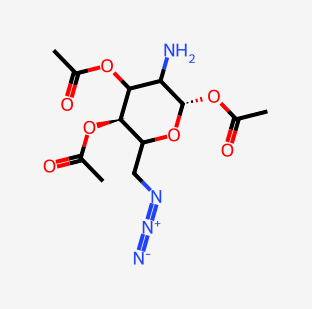 CC(=O)OC1C(N)[C@H](OC(C)=O)OC(CN=[N+]=[N-])[C@H]1OC(C)=O